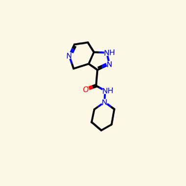 O=C(NN1CCCCC1)C1=NNC2CC=NCC12